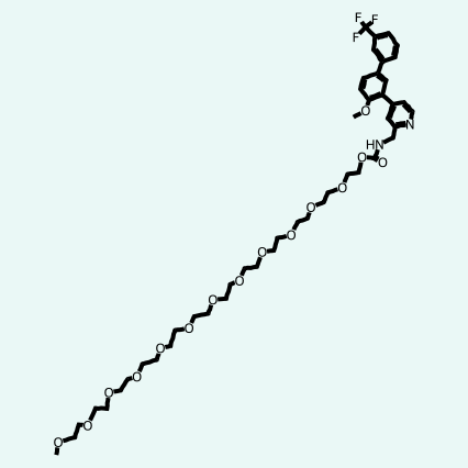 COCCOCCOCCOCCOCCOCCOCCOCCOCCOCCOCCOCCOC(=O)NCc1cc(-c2cc(-c3cccc(C(F)(F)F)c3)ccc2OC)ccn1